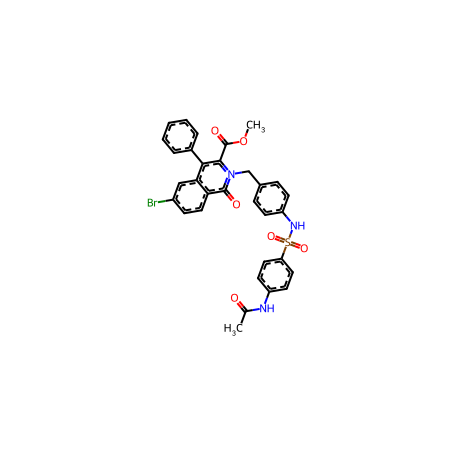 COC(=O)c1c(-c2ccccc2)c2cc(Br)ccc2c(=O)n1Cc1ccc(NS(=O)(=O)c2ccc(NC(C)=O)cc2)cc1